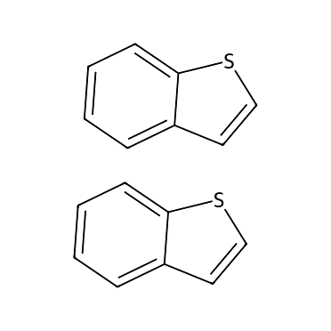 c1ccc2sccc2c1.c1ccc2sccc2c1